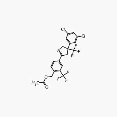 CC(=O)OCc1ccc(C2=NCC(c3cc(Cl)cc(Cl)c3)(C(F)(F)F)C2)cc1C(F)(F)F